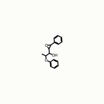 CC(Oc1ccccc1)C(O)C1OC1c1ccccc1